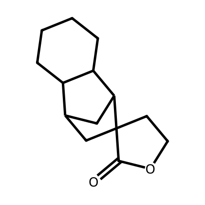 O=C1OCCC12CC1CC2C2CCCCC12